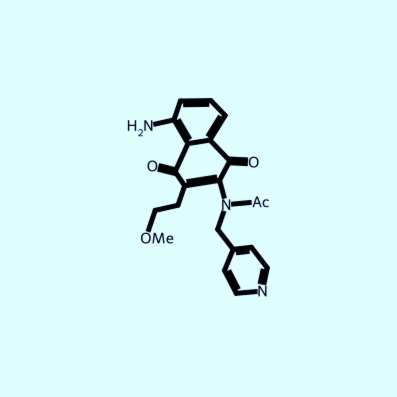 COCCC1=C(N(Cc2ccncc2)C(C)=O)C(=O)c2cccc(N)c2C1=O